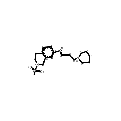 CS(=O)(=O)N1CCc2ccc(OCCCN3CCCCC3)cc2C1